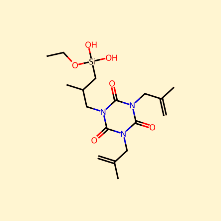 C=C(C)Cn1c(=O)n(CC(=C)C)c(=O)n(CC(C)C[Si](O)(O)OCC)c1=O